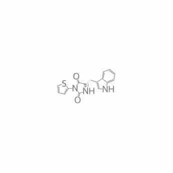 O=C1N[C@@H](Cc2c[nH]c3ccccc23)C(=O)N1c1cccs1